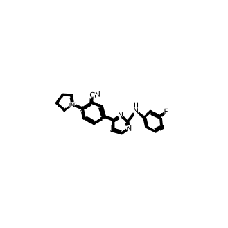 N#Cc1cc(-c2ccnc(Nc3cccc(F)c3)n2)ccc1N1CCCC1